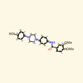 COc1ccc(C(=O)Nc2ccc(N3CCN(c4ccc(C#N)cc4)CC3)cc2)cc1OC